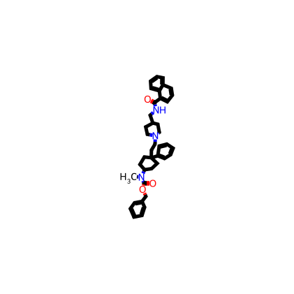 CN(C(=O)OCc1ccccc1)C1CCC(CCN2CCC(CNC(=O)c3cccc4ccccc34)CC2)(c2ccccc2)CC1